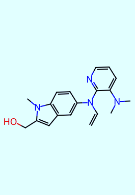 C=CN(c1ccc2c(c1)cc(CO)n2C)c1ncccc1N(C)C